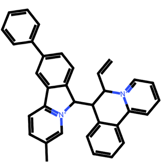 C=CC1C(C2c3ccc(-c4ccccc4)cc3-c3ccc(C)c[n+]32)c2ccccc2-c2cccc[n+]21